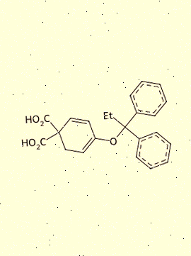 CCC(OC1=CCC(C(=O)O)(C(=O)O)C=C1)(c1ccccc1)c1ccccc1